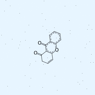 O=C1CC=Cc2oc3ccccc3c(=O)c21